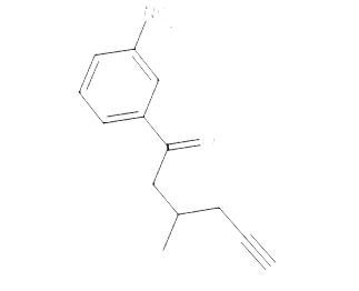 C#CCC(C)CC(=O)c1cccc([N+](=O)[O-])c1